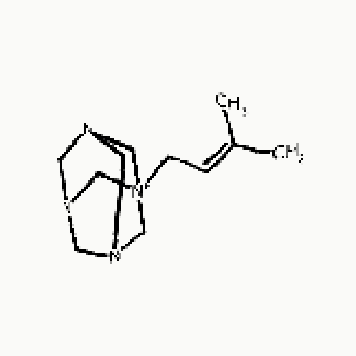 CC(C)=CC[N+]12CN3CN(CN(C3)C1)C2